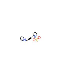 CS(=O)(=O)N1CCC[C@H]1C#CCN1CCCC1